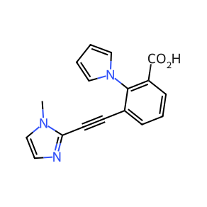 Cn1ccnc1C#Cc1cccc(C(=O)O)c1-n1cccc1